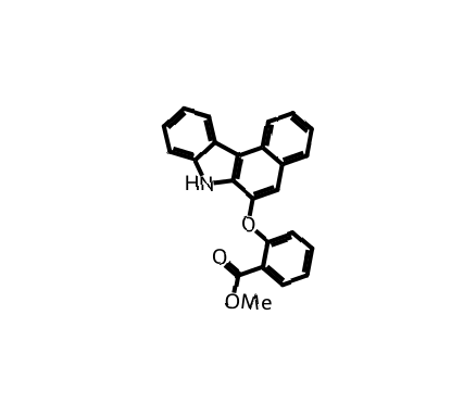 COC(=O)c1ccccc1Oc1cc2ccccc2c2c1[nH]c1ccccc12